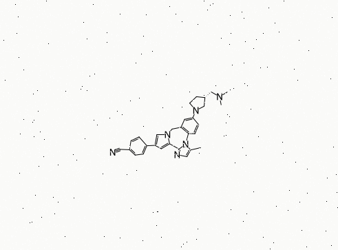 Cc1cnc2n1-c1ccc(N3CC[C@H](CN(C)C)C3)cc1Cn1cc(-c3ccc(C#N)cc3)cc1-2